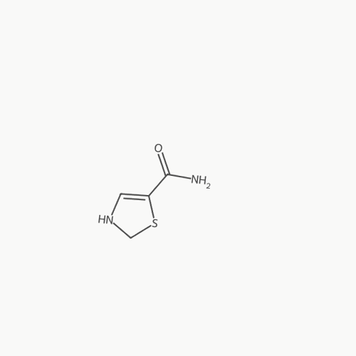 NC(=O)C1=CNCS1